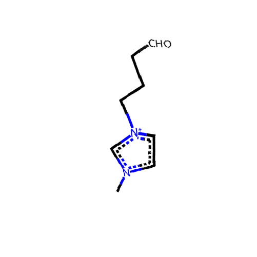 Cn1cc[n+](CCCC=O)c1